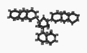 c1ccc2cc3cc(-c4cc(-c5ccc6cc7ccccc7cc6c5)nc(-c5cccc6cccnc56)n4)ccc3cc2c1